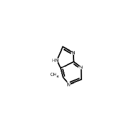 C.c1ncc2[nH]cnc2n1